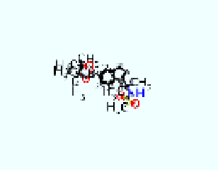 CC(C)(NS(C)(=O)=O)C1=CCc2cc(B3OC(C)(C)C(C)(C)O3)ccc21